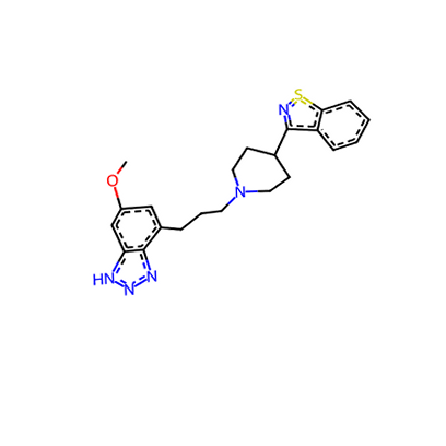 COc1cc(CCCN2CCC(c3nsc4ccccc34)CC2)c2nn[nH]c2c1